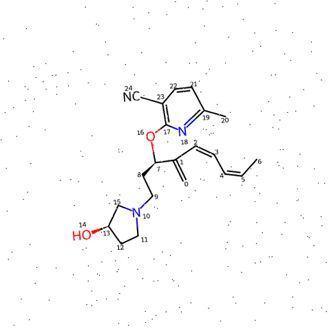 C=C(/C=C\C=C/C)[C@@H](CCN1CC[C@@H](O)C1)Oc1nc(C)ccc1C#N